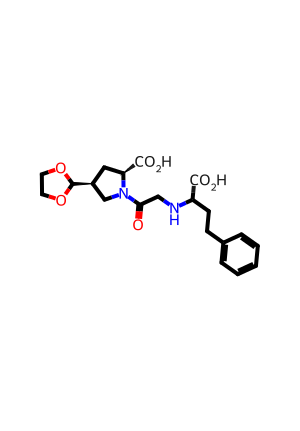 O=C(O)C(CCc1ccccc1)NCC(=O)N1C[C@@H](C2OCCO2)C[C@H]1C(=O)O